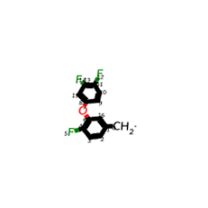 [CH2]c1ccc(F)c(Oc2ccc(F)c(F)c2)c1